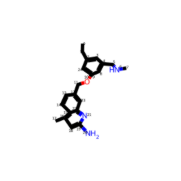 CCc1cc(CNC)cc(OCc2ccc3c(C)cc(N)nc3c2)c1